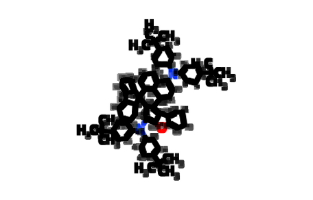 CC(C)(C)c1ccc(N(c2ccc(C(C)(C)C)cc2)c2ccc3c4c(cccc24)C2(c4ccccc4-c4ccccc42)c2cc(N(c4ccc(C(C)(C)C)cc4)c4ccc(C(C)(C)C)cc4)c4oc5ccccc5c4c2-3)cc1